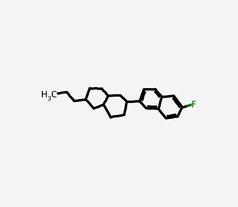 CCCC1CCC2CC(c3ccc4cc(F)ccc4c3)CCC2C1